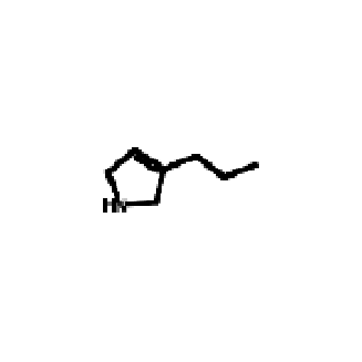 CCCC1=CCNC1